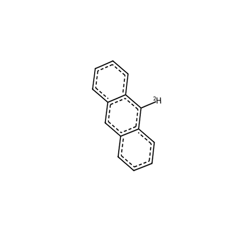 [2H]c1c2ccccc2cc2ccccc12